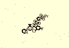 CC(C)S(=O)(=O)n1ccc(S(=O)(=O)n2nc(N3CCN(c4ccccn4)CC34CC4)c3c(Cl)cc(F)cc32)c1